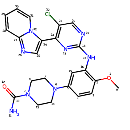 COc1ccc(N2CCN(C(N)=O)CC2)cc1Nc1ncc(Cl)c(-c2cnc3ccccn23)n1